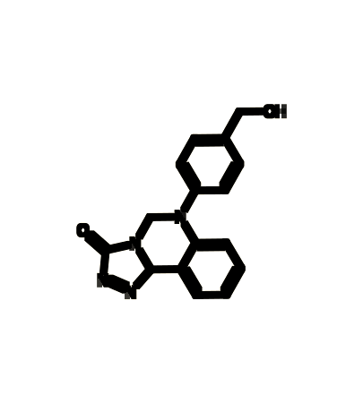 O=C1N=NC2c3ccccc3N(c3ccc(CO)cc3)CN12